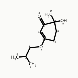 CC(C)COC1=CC(=O)C(C)(O)CC1